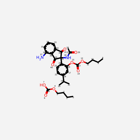 CCCCOC(=O)O.CCCCOC(=O)Oc1cc(C(C)C)ccc1C1(NC(C)=O)C(=O)c2cccc(N)c2C1=O